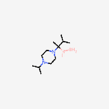 BBC(C)(C(C)C)N1CCN(C(C)C)CC1